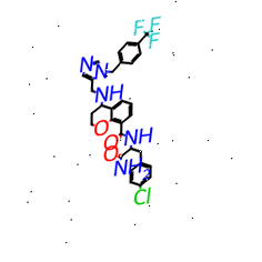 NC(=O)C(Cc1ccc(Cl)cc1)NC(=O)c1cccc2c1OCCC2NCc1cncn1Cc1ccc(C(F)(F)F)cc1